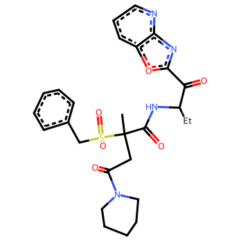 CCC(NC(=O)C(C)(CC(=O)N1CCCCC1)S(=O)(=O)Cc1ccccc1)C(=O)c1nc2ncccc2o1